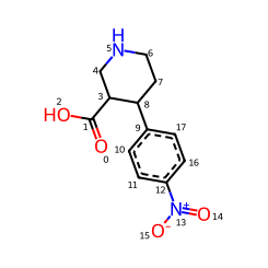 O=C(O)C1CNCCC1c1ccc([N+](=O)[O-])cc1